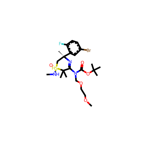 CN[SH]1(=O)C[C@@](C)(c2cc(Br)ccc2F)N=C(N(COCCOC)C(=O)OC(C)(C)C)C1(C)C